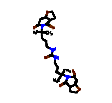 CC(C)(CCCNC(=S)NCCCC(C)(C)N1C(=S)C=C2SCCC2C1=S)N1C(=S)C=C2SCCC2C1=S